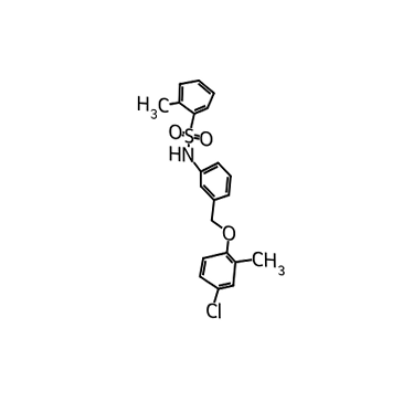 Cc1cc(Cl)ccc1OCc1cccc(NS(=O)(=O)c2ccccc2C)c1